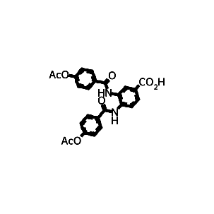 CC(=O)Oc1ccc(C(=O)Nc2ccc(C(=O)O)cc2NC(=O)c2ccc(OC(C)=O)cc2)cc1